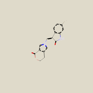 O=C1Nc2cc(Br)ccc2C1=Cn1cc2c(c1)C(=O)OCC2